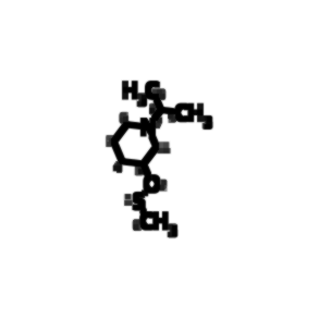 CSOC1CCCN(C(C)C)C1